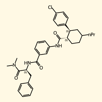 CCCC1CC[C@H](C(=O)Nc2cccc(C(=O)N[C@@H](Cc3ccccc3)C(=O)N(C)C)c2)[C@@H](c2ccc(Cl)cc2)C1